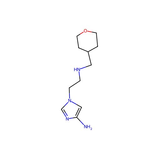 Nc1cn(CCNCC2CCOCC2)cn1